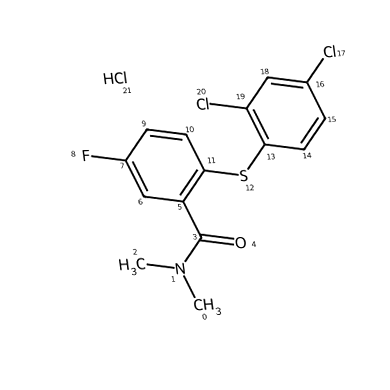 CN(C)C(=O)c1cc(F)ccc1Sc1ccc(Cl)cc1Cl.Cl